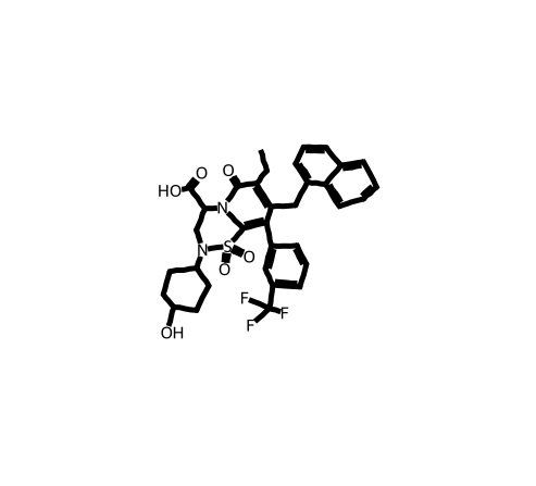 CCc1c(Cc2cccc3ccccc23)c(-c2cccc(C(F)(F)F)c2)c2n(c1=O)C(C(=O)O)CN(C1CCC(O)CC1)S2(=O)=O